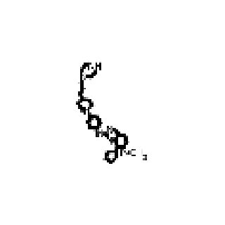 CNc1ccc2cnc(Nc3ccc(N4CCC(CCCN5CCNCC5)CC4)cc3)nc2c1C1CCCC1